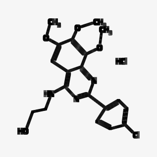 COc1cc2c(NCCO)nc(-c3ccc(Cl)cc3)nc2c(OC)c1OC.Cl